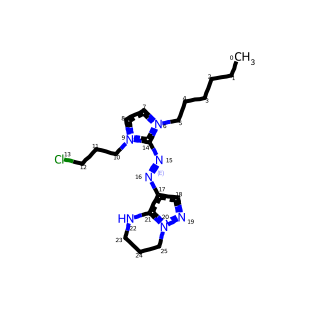 CCCCCCn1cc[n+](CCCCl)c1/N=N/c1cnn2c1NCCC2